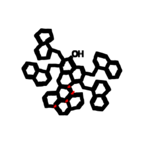 Oc1c(Cc2cccc3ccccc23)c(Cc2cccc3ccccc23)c(Cc2cccc3ccccc23)c2c(Cc3cccc4ccccc34)c(Cc3cccc4ccccc34)c(Cc3cccc4ccccc34)cc12